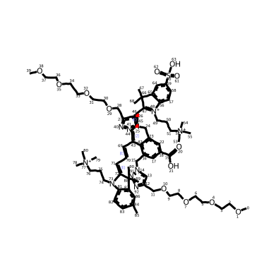 COCCOCCOCCOCc1cn(Cc2cc(C(=O)O)cc(Cn3cc(COCCOCCOCCOC)nn3)c2C(=C\C=C\C2=[N+](CCC[N+](C)(C)C)c3ccc(S(=O)(=O)O)cc3C2(C)C)/C=C/C=C2/N(CCC[N+](C)(C)C)c3ccc(C)cc3C2(C)C)nn1